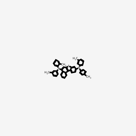 Cc1ccc(N(c2cccc(C)c2)c2ccc3c(c2)sc2cc(N(c4cccc(C)c4)c4ccccc4C)c4ccccc4c23)cc1